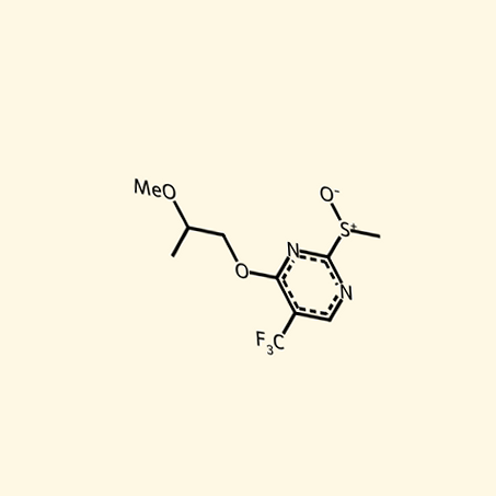 COC(C)COc1nc([S+](C)[O-])ncc1C(F)(F)F